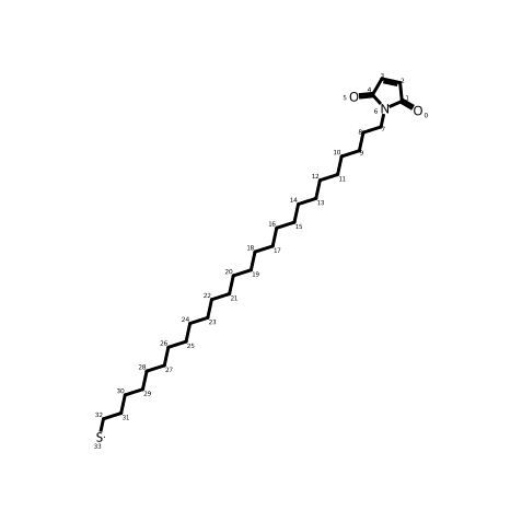 O=C1C=CC(=O)N1CCCCCCCCCCCCCCCCCCCCCCCCCC[S]